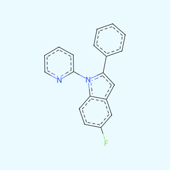 Fc1ccc2c(c1)cc(-c1ccccc1)n2-c1ccccn1